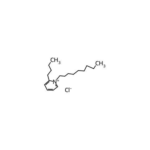 CCCCCCCCC[n+]1ccccc1CCCC.[Cl-]